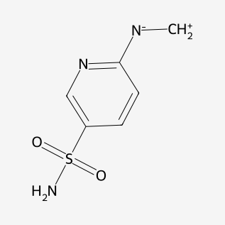 [CH2+][N-]c1ccc(S(N)(=O)=O)cn1